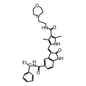 CC[C@@H](NC(=O)c1ccc2c(c1)C(=Cc1[nH]c(C)c(C(=O)NCCN3CCOCC3)c1C)C(=O)N2)c1ccccc1